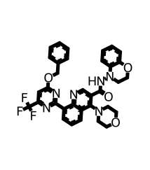 O=C(NN1CCOc2ccccc21)c1cnc2c(-c3nc(OCc4ccccc4)cc(C(F)(F)F)n3)cccc2c1N1CCOCC1